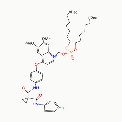 CCCCCCCCCCCCCCCCOP(=O)(OCCCCCCCCCCCCCCCC)OC[n+]1ccc(Oc2ccc(NC(=O)C3(C(=O)Nc4ccc(F)cc4)CC3)cc2)c2cc(OC)c(OC)cc21